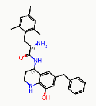 Cc1cc(C)c(C[C@H](N)C(=O)N[C@@H]2CCNc3c(O)cc(Cc4ccccc4)cc32)c(C)c1